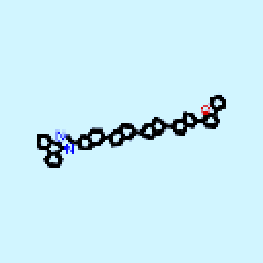 c1ccc2c(c1)oc1c(-c3ccc4cc(-c5ccc6cc(-c7ccc8cc(-c9ccc%10cc(-c%11cnc%12c%13ccccc%13c%13ccccc%13c%12n%11)ccc%10c9)ccc8c7)ccc6c5)ccc4c3)cccc12